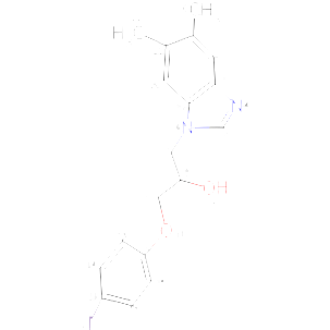 Cc1cc2ncn(CC(O)COc3ccc(I)cc3)c2cc1C